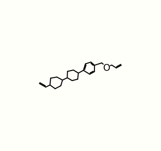 C=CCOCc1ccc(C2CCC(C3CCC(C=C)CC3)CC2)cc1